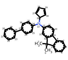 CC1(C)c2ccccc2-c2ccc(N(c3ccc(-c4ccccc4)cc3)C3C=CC=C3)cc21